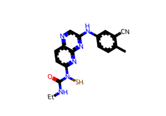 CCNC(=O)N(S)c1ccc2ncc(Nc3ccc(C)c(C#N)c3)nc2n1